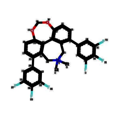 CC[N+]1(CC)Cc2c(-c3cc(F)c(F)c(F)c3)ccc3c2-c2c(ccc(-c4cc(F)c(F)c(F)c4)c2C1)OCO3